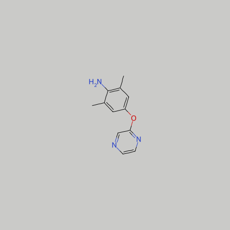 Cc1cc(Oc2cnccn2)cc(C)c1N